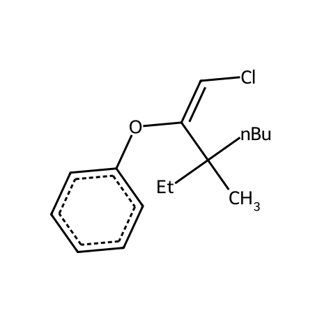 CCCCC(C)(CC)C(=CCl)Oc1ccccc1